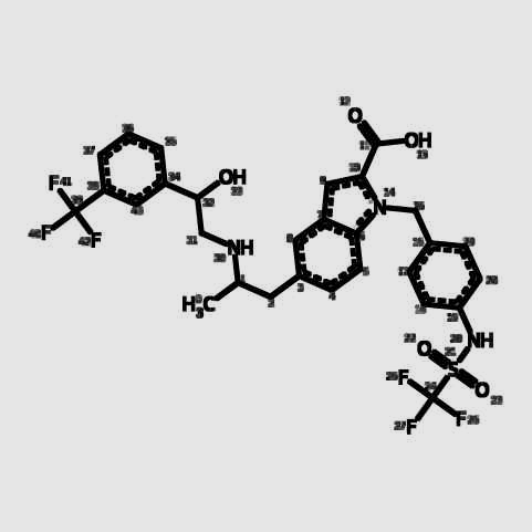 CC(Cc1ccc2c(c1)cc(C(=O)O)n2Cc1ccc(NS(=O)(=O)C(F)(F)F)cc1)NCC(O)c1cccc(C(F)(F)F)c1